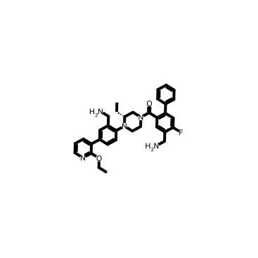 CCOc1ncccc1-c1ccc(N2CCN(C(=O)c3cc(CN)c(F)cc3-c3ccccc3)C[C@H]2CC)c(CN)c1